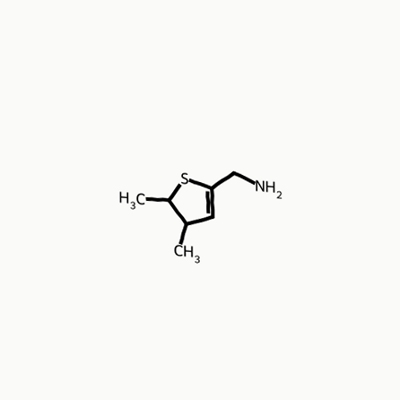 CC1C=C(CN)SC1C